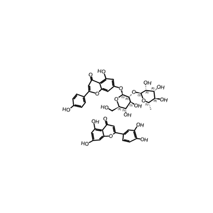 C[C@@H]1O[C@@H](O[C@H]2[C@H](Oc3cc(O)c4c(=O)cc(-c5ccc(O)cc5)oc4c3)O[C@H](CO)[C@@H](O)[C@@H]2O)[C@H](O)[C@H](O)[C@H]1O.O=c1cc(-c2ccc(O)c(O)c2)oc2cc(O)cc(O)c12